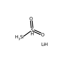 O=[SH](=O)[SiH3].[LiH]